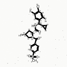 CS(=O)(=O)c1ccc(C(=O)N2C[C@@H](F)C[C@@H]2C(=O)N[C@@H](c2cc(F)c(Cl)cc2F)C2CC2)cn1